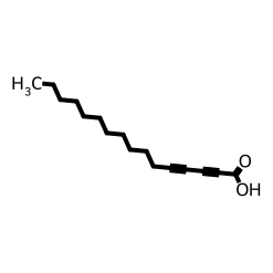 CCCCCCCCCCCC#CC#CC(=O)O